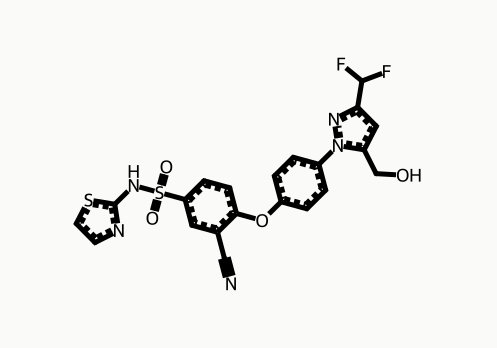 N#Cc1cc(S(=O)(=O)Nc2nccs2)ccc1Oc1ccc(-n2nc(C(F)F)cc2CO)cc1